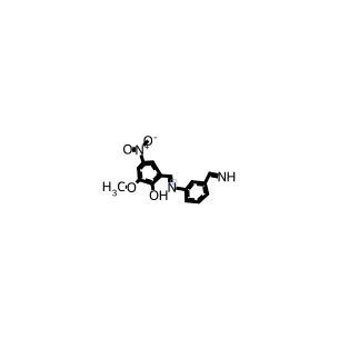 COc1cc([N+](=O)[O-])cc(/C=N/c2cccc(C=N)c2)c1O